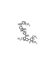 Cc1cc(Nc2ccc3nc(-c4ccc(Nc5cc(C)nc6ccc(C7=C(F)[C@@H](C)O[C@@H](C)C7)cc56)cn4)[nH]c3c2)ccn1